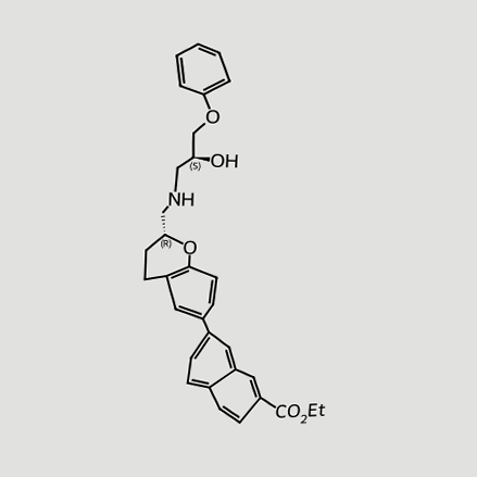 CCOC(=O)c1ccc2ccc(-c3ccc4c(c3)CC[C@H](CNC[C@H](O)COc3ccccc3)O4)cc2c1